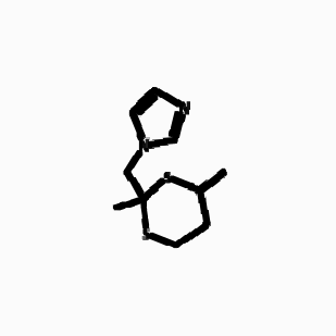 CC1CCSC(C)(Cn2ccnc2)S1